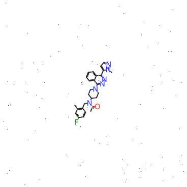 CC(=O)N(Cc1ccc(F)cc1C)C1CCN(c2nnc(-c3ccnn3C)c3ccccc23)CC1